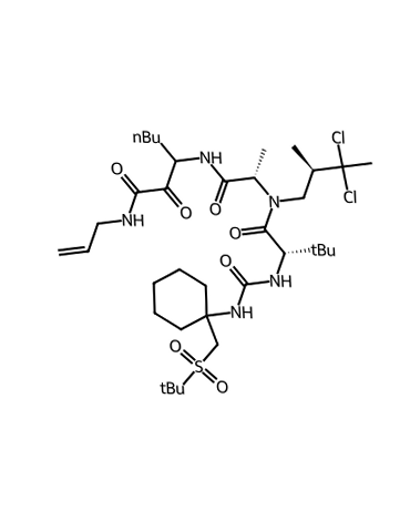 C=CCNC(=O)C(=O)C(CCCC)NC(=O)[C@H](C)N(C[C@@H](C)C(C)(Cl)Cl)C(=O)[C@@H](NC(=O)NC1(CS(=O)(=O)C(C)(C)C)CCCCC1)C(C)(C)C